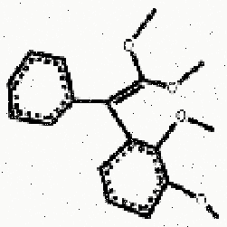 COC(OC)=C(c1ccccc1)c1cccc(OC)c1OC